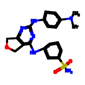 CCCN(C)c1ccc(Nc2nc3c(c(Nc4cccc(S(N)(=O)=O)c4)n2)COC3)cc1